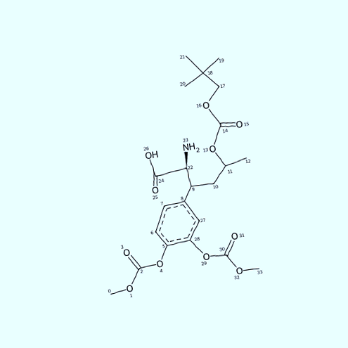 COC(=O)Oc1ccc(C(CC(C)OC(=O)OCC(C)(C)C)[C@H](N)C(=O)O)cc1OC(=O)OC